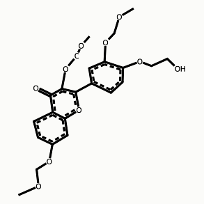 COCOc1ccc2c(=O)c(OCOC)c(-c3ccc(OCCO)c(OCOC)c3)oc2c1